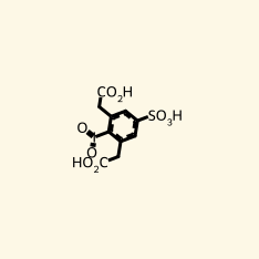 O=C(O)Cc1cc(S(=O)(=O)O)cc(CC(=O)O)c1I(=O)=O